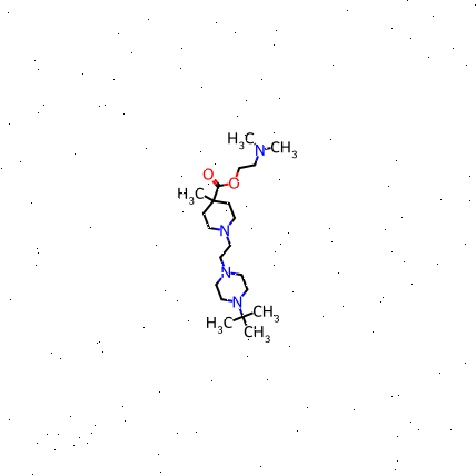 CN(C)CCOC(=O)C1(C)CCN(CCN2CCN(C(C)(C)C)CC2)CC1